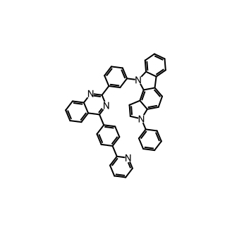 c1ccc(-n2ccc3c2ccc2c4ccccc4n(-c4cccc(-c5nc(-c6ccc(-c7ccccn7)cc6)c6ccccc6n5)c4)c23)cc1